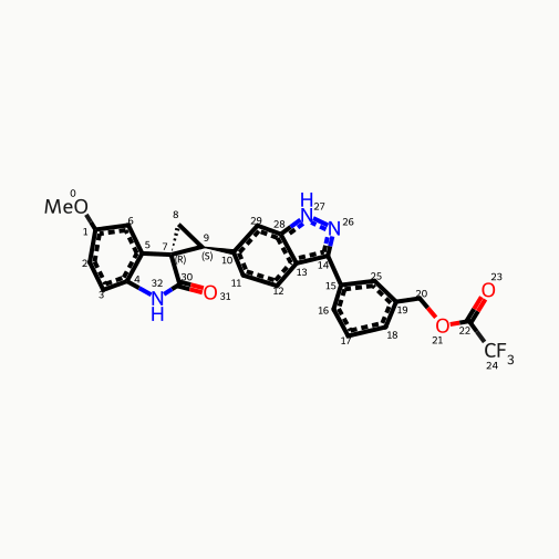 COc1ccc2c(c1)[C@]1(C[C@H]1c1ccc3c(-c4cccc(COC(=O)C(F)(F)F)c4)n[nH]c3c1)C(=O)N2